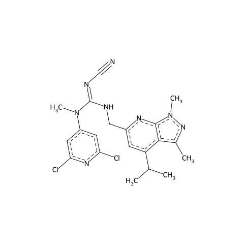 Cc1nn(C)c2nc(CN/C(=N\C#N)N(C)c3cc(Cl)nc(Cl)c3)cc(C(C)C)c12